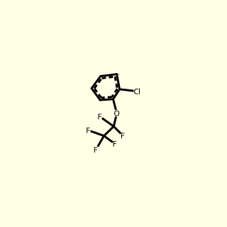 FC(F)(F)C(F)(F)Oc1ccc[c]c1Cl